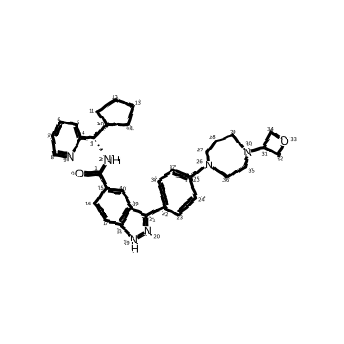 O=C(N[C@H](c1ccccn1)C1CCCC1)c1ccc2[nH]nc(-c3ccc(N4CCCN(C5COC5)CC4)cc3)c2c1